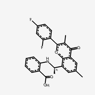 Cc1cc([C@@H](C)Nc2ccccc2C(=O)O)c2oc(-c3ccc(F)cc3F)c(C)c(=O)c2c1